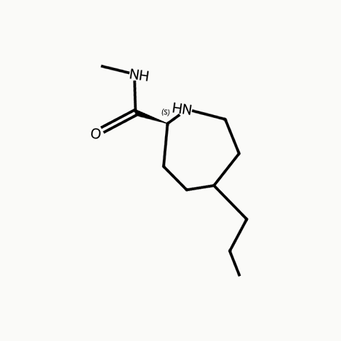 CCCC1CCN[C@H](C(=O)NC)CC1